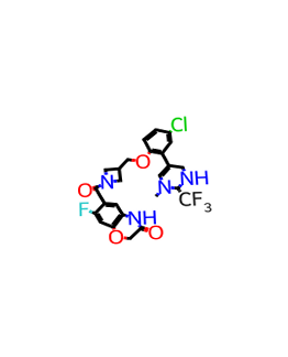 CN1C=C(c2cc(Cl)ccc2OCC2CN(C(=O)c3cc4c(cc3F)OCC(=O)N4)C2)CNC1C(F)(F)F